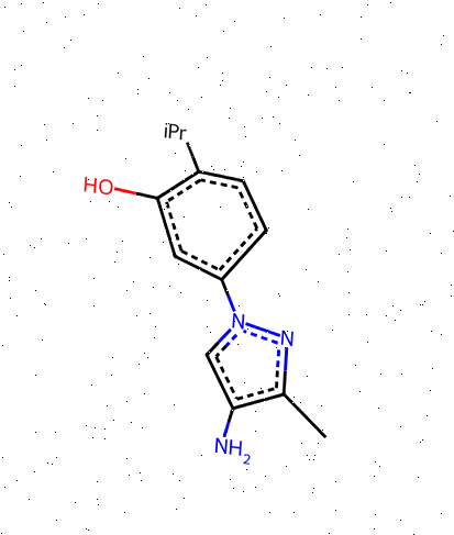 Cc1nn(-c2ccc(C(C)C)c(O)c2)cc1N